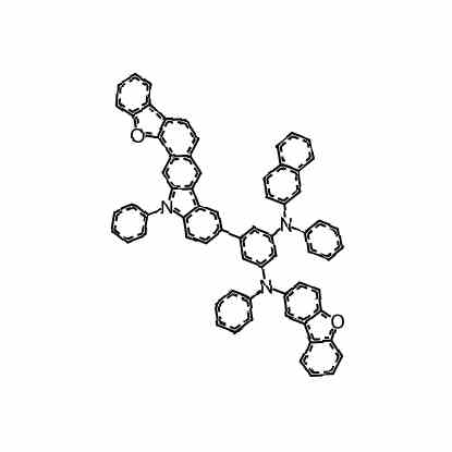 c1ccc(N(c2cc(-c3ccc4c(c3)c3cc5ccc6c7ccccc7oc6c5cc3n4-c3ccccc3)cc(N(c3ccccc3)c3ccc4oc5ccccc5c4c3)c2)c2ccc3ccccc3c2)cc1